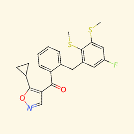 CSc1cc(F)cc(Cc2ccccc2C(=O)c2cnoc2C2CC2)c1SC